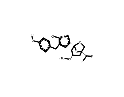 CCCCO[C@@H]1C[C@@]2(c3ccc(Cl)c(Cc4ccc(OCC)cc4)c3)OC[C@@](C(F)F)(C1)O2